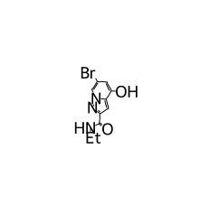 CCNC(=O)c1cc2c(O)cc(Br)cn2n1